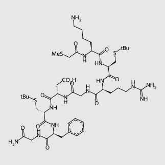 CSCC(=O)N[C@@H](CCCCN)C(=O)N[C@@H](CSC(C)(C)C)C(=O)N[C@@H](CCCNC(=N)N)C(=O)NCC(=O)N[C@@H](CC(=O)O)C(=O)N[C@@H](CSC(C)(C)C)C(=O)N[C@@H](Cc1ccccc1)C(=O)NCC(N)=O